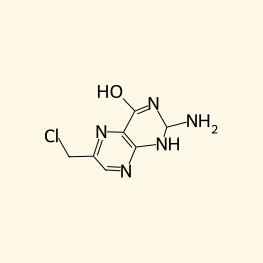 NC1N=C(O)c2nc(CCl)cnc2N1